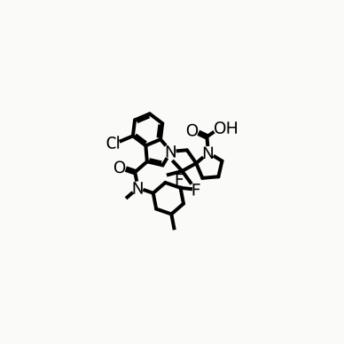 CC1CC(N(C)C(=O)c2cn(CC3(C(C)(C)C)CCCN3C(=O)O)c3cccc(Cl)c23)CC(F)(F)C1